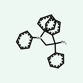 PC(C[As](c1ccccc1)c1ccccc1)(c1ccccc1)c1ccccc1